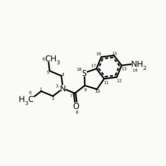 CCCN(CCC)C(=O)C1Cc2cc(N)ccc2S1